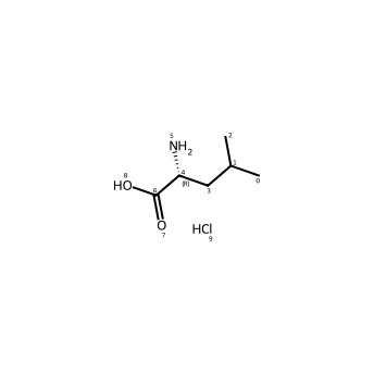 CC(C)C[C@@H](N)C(=O)O.Cl